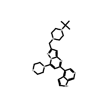 CC(C)(C)N1CCN(Cc2cc3nc(-c4cncc5[nH]ccc45)cc(N4CCOCC4)n3n2)CC1